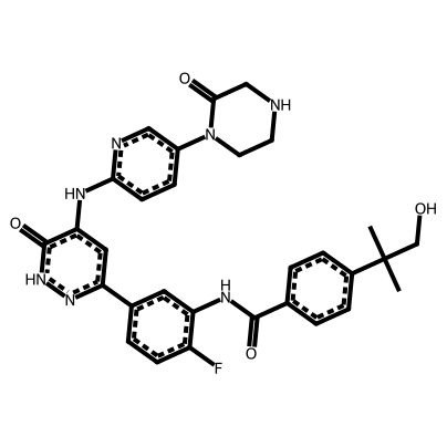 CC(C)(CO)c1ccc(C(=O)Nc2cc(-c3cc(Nc4ccc(N5CCNCC5=O)cn4)c(=O)[nH]n3)ccc2F)cc1